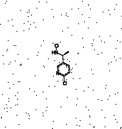 C[C@H](NCl)c1ccc(Cl)nc1